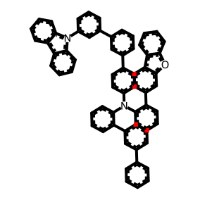 c1ccc(-c2cccc(-c3ccccc3N(c3ccc(-c4cccc(-c5cccc(-n6c7ccccc7c7ccccc76)c5)c4)cc3)c3ccccc3-c3ccc4c(c3)oc3ccccc34)c2)cc1